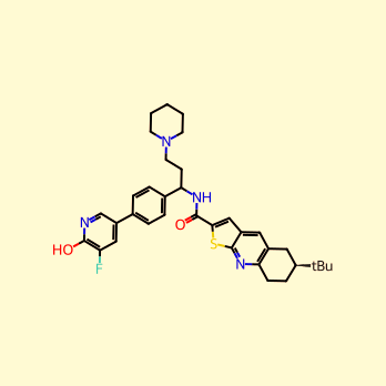 CC(C)(C)[C@H]1CCc2nc3sc(C(=O)NC(CCN4CCCCC4)c4ccc(-c5cnc(O)c(F)c5)cc4)cc3cc2C1